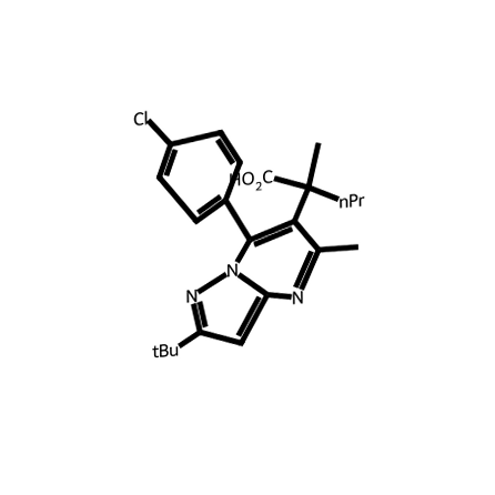 CCCC(C)(C(=O)O)c1c(C)nc2cc(C(C)(C)C)nn2c1-c1ccc(Cl)cc1